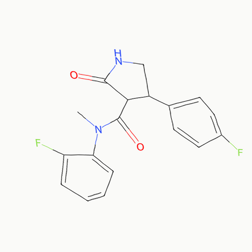 CN(C(=O)C1C(=O)NCC1c1ccc(F)cc1)c1ccccc1F